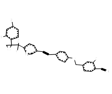 N#Cc1ccc(COc2ccc(C#Cc3ccc(C(F)(F)C4(c5ccc(F)cc5F)CO4)nc3)cc2)cc1F